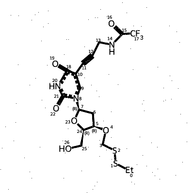 CCSSCO[C@@H]1C[C@H](n2cc(C#CCNC(=O)C(F)(F)F)c(=O)[nH]c2=O)O[C@@H]1CO